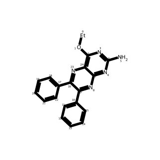 CCOc1nc(N)nc2nc(-c3ccccc3)c(-c3ccccc3)nc12